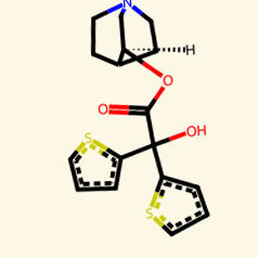 O=C(O[C@@H]1CN2CCC1CC2)C(O)(c1cccs1)c1cccs1